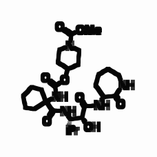 COC(=O)N1CCC(OC(=O)NC2(C(=O)N[C@@H](C(C)C)[C@H](O)C(=O)N[C@H]3CCCCNC3=O)CCCCC2)CC1